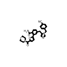 N#Cc1ccc(Cn2cncc2Cc2ccc(C(N)=O)c(-c3ccc(C(=O)N4CCCCC4)o3)c2)cc1